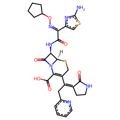 Nc1nc(C(=NOC2CCCC2)C(=O)N[C@@H]2C(=O)N3C(C(=O)O)=C(C(Cc4ccccn4)=C4CCNC4=O)CS[C@H]23)cs1